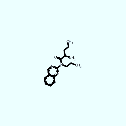 CCCC(N)C(=O)N(CCC)c1ncc2ccccc2n1